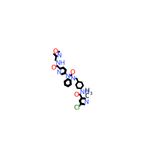 Cc1ncc(Cl)cc1C(=O)NC1CCC(Cn2c(=O)n(-c3ccc(C(=O)NCc4cocn4)nc3)c3ccccc32)CC1